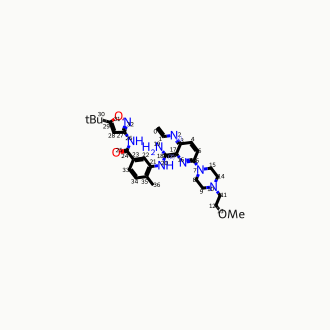 C=C/N=C1/C=CC(N2CCN(CCOC)CC2)=N/C1=C(/N)Nc1cc(C(=O)Nc2cc(C(C)(C)C)on2)ccc1C